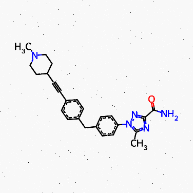 Cc1nc(C(N)=O)nn1-c1ccc(Cc2ccc(C#CC3CCN(C)CC3)cc2)cc1